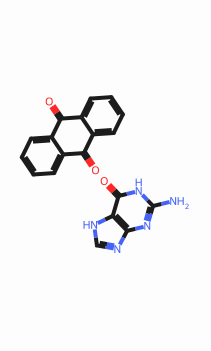 Nc1nc2nc[nH]c2c(=O)[nH]1.O=C1c2ccccc2C(=O)c2ccccc21